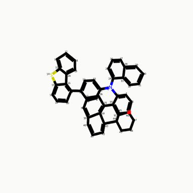 c1ccc(N(c2ccc(-c3cccc4sc5ccccc5c34)cc2)c2cccc3ccccc23)c(-c2cccc3cccc(C4CCCCC4)c23)c1